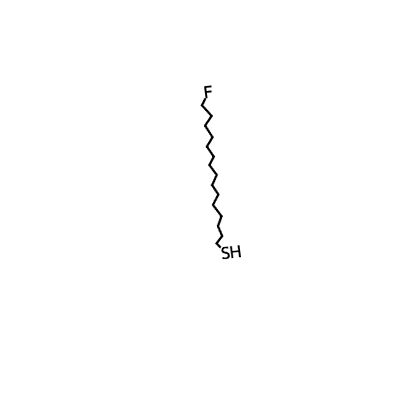 FCCCCCCCCCCCCCCCS